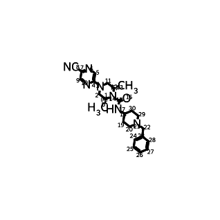 C[C@@H]1CN(c2cnc(C#N)cn2)C[C@H](C)N1C(=O)NC1CCN(Cc2ccccc2)CC1